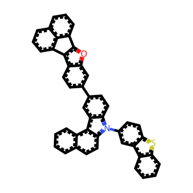 c1cc2c3c(cccc3c1)-c1c-2oc2cc(-c3ccc4c(c3)c3c5ccccc5ccc3n4-c3ccc4sc5ccccc5c4c3)ccc12